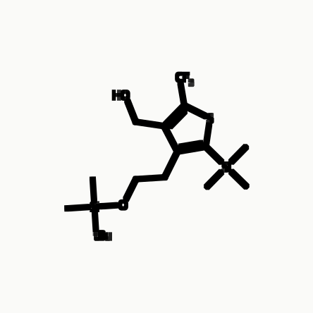 CC(C)(C)[Si](C)(C)OCCc1c([Si](C)(C)C)sc(C(F)(F)F)c1CO